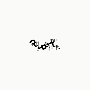 CC(C)NC(=O)c1c[nH]nc1-c1nc2cc(C(=O)NCc3ccccn3)ccc2[nH]1